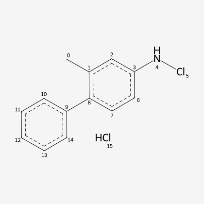 Cc1cc(NCl)ccc1-c1ccccc1.Cl